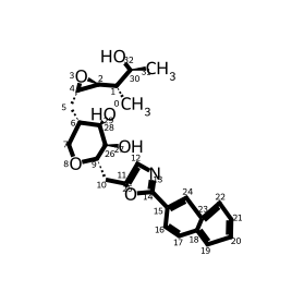 C[C@H]([C@@H]1O[C@H]1C[C@H]1CO[C@@H](Cc2cnc(-c3ccc4ccccc4c3)o2)[C@H](O)[C@@H]1O)[C@H](C)O